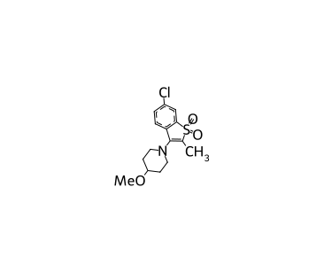 COC1CCN(C2=C(C)S(=O)(=O)c3cc(Cl)ccc32)CC1